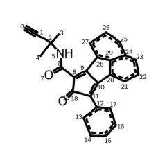 C#CC(C)(C)NC(=O)C1=C2C(=C(c3ccccc3)C1=O)c1cccc3cccc2c13